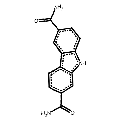 NC(=O)c1ccc2c(c1)[nH]c1ccc(C(N)=O)cc12